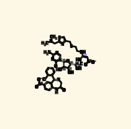 CN/C(=C\[N+](=O)[O-])NCCSCc1csc(CN(C)C)n1.Nc1ncn([C@@H]2O[C@H](CO)[C@@H](O)[C@H]2O)c(=O)n1.O=C1CN=C(c2ccccc2Cl)c2cc([N+](=O)[O-])ccc2N1